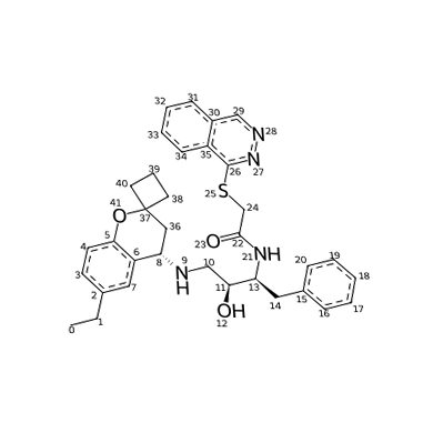 CCc1ccc2c(c1)[C@@H](NC[C@H](O)[C@H](Cc1ccccc1)NC(=O)CSc1nncc3ccccc13)CC1(CCC1)O2